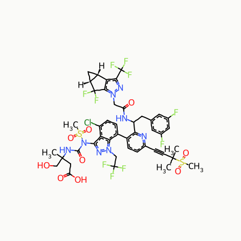 CC(CO)(CC(=O)O)NC(=O)N(c1nn(CC(F)(F)F)c2c(-c3ccc(C#CC(C)(C)S(C)(=O)=O)nc3C(Cc3cc(F)cc(F)c3)NC(=O)Cn3nc(C(F)(F)F)c4c3C(F)(F)[C@@H]3C[C@H]43)ccc(Cl)c12)S(C)(=O)=O